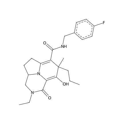 CCCC1(C)C(O)=C2C(=O)N(CC)CC3CCC(=C1C(=O)NCc1ccc(F)cc1)N23